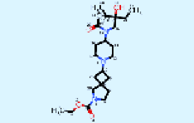 CCOC(=O)N1CCC2(CC(N3CCC(N(CC(O)(CC)CC)C(C)=O)CC3)C2)C1